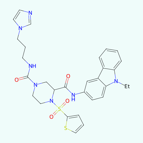 CCn1c2ccccc2c2cc(NC(=O)C3CN(C(=O)NCCCn4ccnc4)CCN3S(=O)(=O)c3cccs3)ccc21